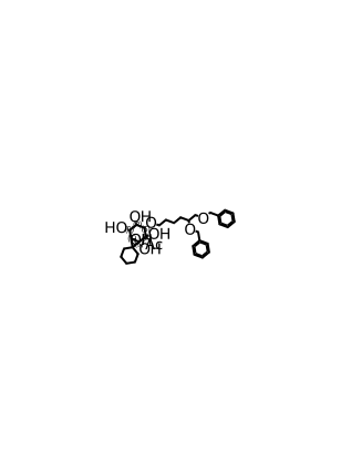 CC(=O)[C@@]1(O)[C@@H](OCCCCC(COCc2ccccc2)OCc2ccccc2)[C@H](O)[C@@H](O)[C@@]2(O)C3(CCCCC3)[C@@]12O